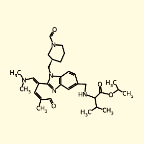 C/C(C=O)=C/C(=C\N(C)C)c1nc2cc(CNC(C(=O)OC(C)C)C(C)C)ccc2n1C[C@@H]1CCCN(C=O)C1